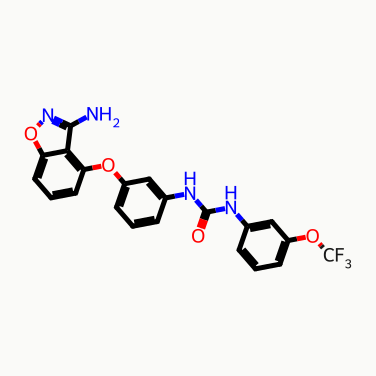 Nc1noc2cccc(Oc3cccc(NC(=O)Nc4cccc(OC(F)(F)F)c4)c3)c12